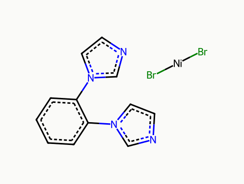 [Br][Ni][Br].c1ccc(-n2ccnc2)c(-n2ccnc2)c1